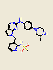 C[C@@H]1CN(c2ccc(Nc3ncc4ccn(Cc5cccnc5NS(C)(=O)=O)c4n3)cc2)CCN1